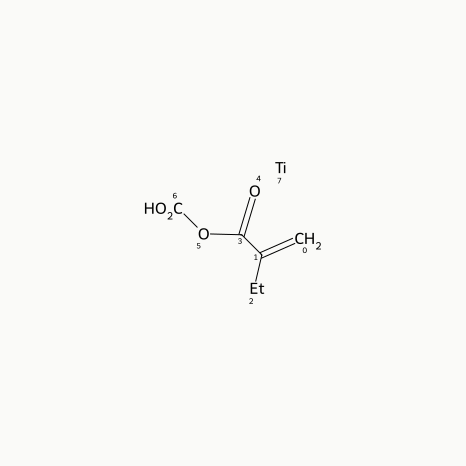 C=C(CC)C(=O)OC(=O)O.[Ti]